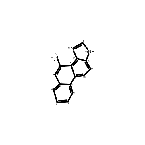 Bc1cc2ccccc2c2ccc3[nH]cnc3c12